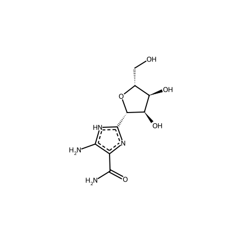 NC(=O)c1nc([C@@H]2O[C@H](CO)[C@@H](O)[C@H]2O)[nH]c1N